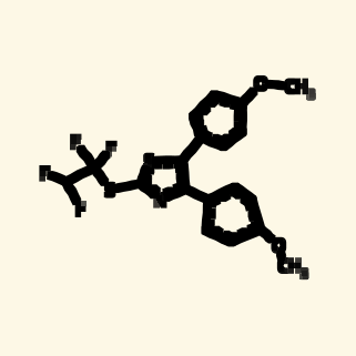 COc1ccc(-c2nc(SC(F)(F)C(F)F)sc2-c2ccc(OC)cc2)cc1